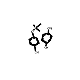 C[Si](C)(C)Oc1ccc(C#N)cc1.N#Cc1ccc(O)cc1